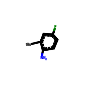 CC(C)(C)c1cc(F)ccc1N